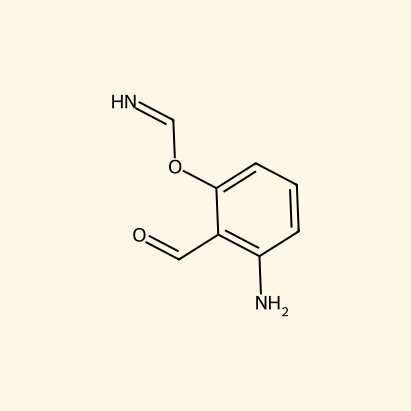 N=COc1cccc(N)c1C=O